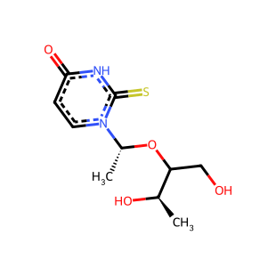 C[C@@H](O)C(CO)O[C@H](C)n1ccc(=O)[nH]c1=S